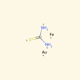 NC(N)=S.[Au].[Fe]